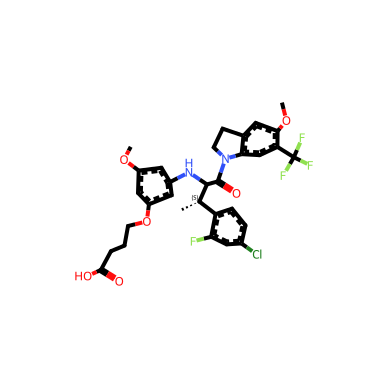 COc1cc(NC(C(=O)N2CCc3cc(OC)c(C(F)(F)F)cc32)[C@@H](C)c2ccc(Cl)cc2F)cc(OCCCC(=O)O)c1